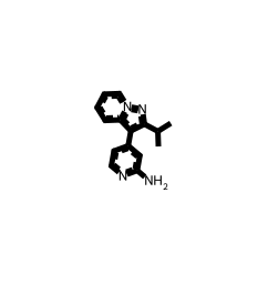 CC(C)c1nn2ccccc2c1-c1ccnc(N)c1